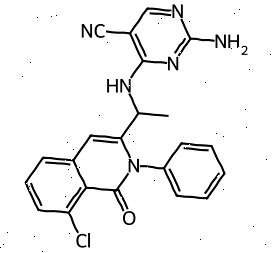 CC(Nc1nc(N)ncc1C#N)c1cc2cccc(Cl)c2c(=O)n1-c1ccccc1